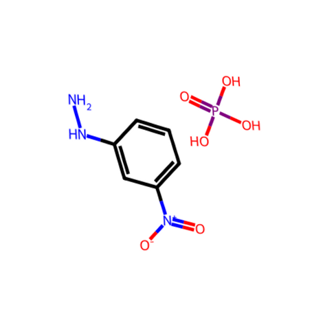 NNc1cccc([N+](=O)[O-])c1.O=P(O)(O)O